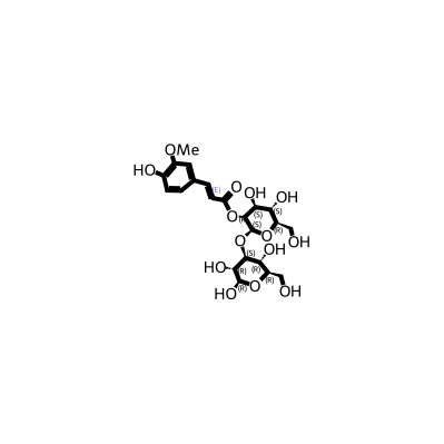 COc1cc(/C=C/C(=O)O[C@H]2[C@H](O[C@@H]3[C@@H](O)[C@H](O)O[C@H](CO)[C@H]3O)O[C@H](CO)[C@@H](O)[C@@H]2O)ccc1O